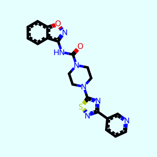 O=C(Nc1noc2ccccc12)N1CCN(c2nc(-c3cccnc3)ns2)CC1